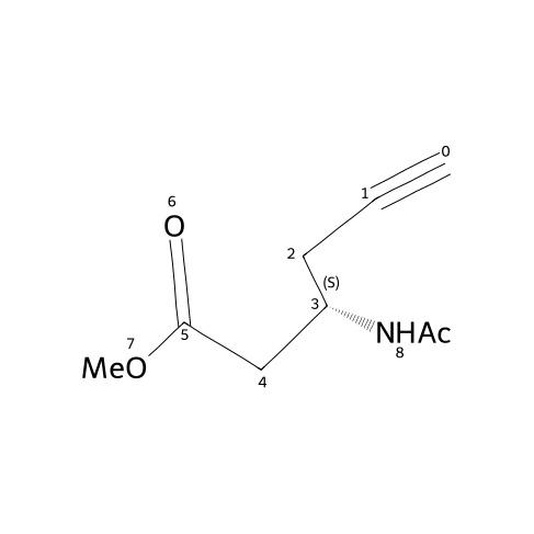 C#CC[C@@H](CC(=O)OC)NC(C)=O